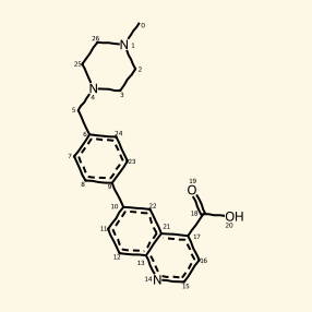 CN1CCN(Cc2ccc(-c3ccc4nccc(C(=O)O)c4c3)cc2)CC1